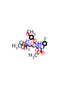 CCOC(=O)[C@H](Cc1ccc(F)cc1)NC(=O)[C@@H](CCCNC(=O)OC(C)(C)C)NC(=O)Oc1ccc(OC)cc1